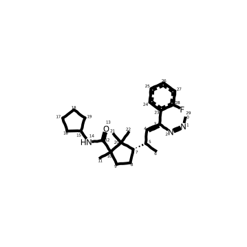 C/N=N\C(=C/C(C)[C@@H]1CCC(C)(C(=O)NC2CCCC2)C1(C)C)c1ccccc1F